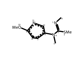 CN=C(SC)N(C)c1ccc(OC)nc1